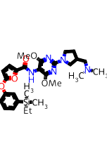 CC[Si](C)(C)c1cccc(Oc2ccc(C(=O)Nc3c(OC)nc(N4CCC(CN(C)C)C4)nc3OC)o2)c1